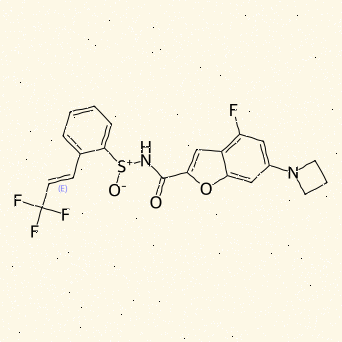 O=C(N[S+]([O-])c1ccccc1/C=C/C(F)(F)F)c1cc2c(F)cc(N3CCC3)cc2o1